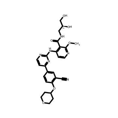 COc1nccc(Nc2nccc(-c3ccc(OC4CCOCC4)c(C#N)c3)n2)c1C(=O)NC[C@H](O)CO